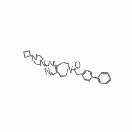 O=C(Cc1ccc(-c2ccccc2)cc1)N1CCc2cnc(N3CCN(C4CCC4)CC3)nc2CC1